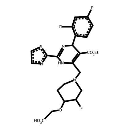 CCOC(=O)C1=C(CN2CCC(OCC(=O)O)C(F)C2)NC(c2nccs2)=NC1c1ccc(F)cc1Cl